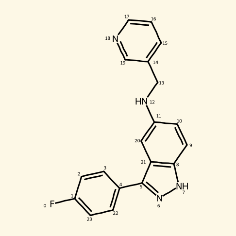 Fc1ccc(-c2n[nH]c3ccc(NCc4cccnc4)cc23)cc1